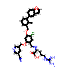 Cc1c(COc2cc(OCc3cncc(C#N)c3)c(CN[C@@H](CCCNC(=N)N)C(=O)O)cc2Cl)cccc1-c1ccc2occc2c1